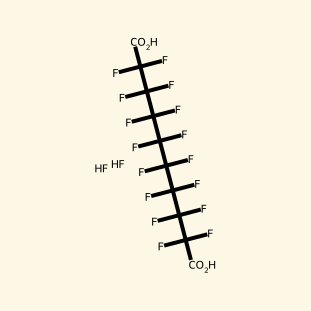 F.F.O=C(O)C(F)(F)C(F)(F)C(F)(F)C(F)(F)C(F)(F)C(F)(F)C(F)(F)C(F)(F)C(=O)O